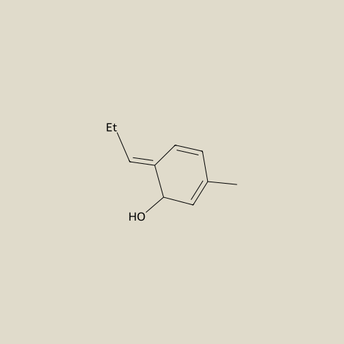 CCC=C1C=CC(C)=CC1O